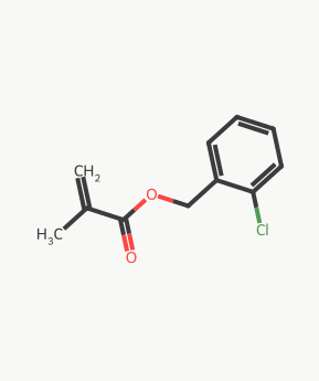 C=C(C)C(=O)OCc1ccccc1Cl